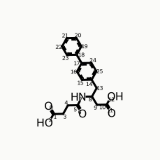 O=C(O)CCC(=O)NC(CC(=O)O)Cc1ccc(-c2ccccc2)cc1